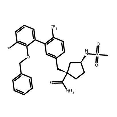 CS(=O)(=O)N[C@H]1CC[C@](Cc2ccc(C(F)(F)F)c(-c3cccc(F)c3OCc3ccccc3)c2)(C(N)=O)C1